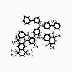 Cc1ccccc1-c1ccc(N(c2cccc(-c3ccccc3)c2)c2ccc(-c3cc(C(C)C)cc4c3Bc3cccc5c3N4c3cc4c(cc3C5(C)C)C(C)(C)CCC4(C)C)c(Nc3ccc4c(c3)C(C)(C)CCC4(C)C)c2)cc1